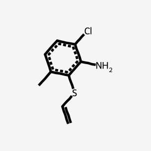 C=CSc1c(C)ccc(Cl)c1N